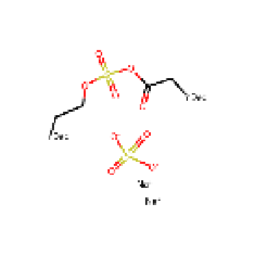 CCCCCCCCCCCCOS(=O)(=O)OC(=O)CCCCCCCCCCC.O=S(=O)([O-])[O-].[Na+].[Na+]